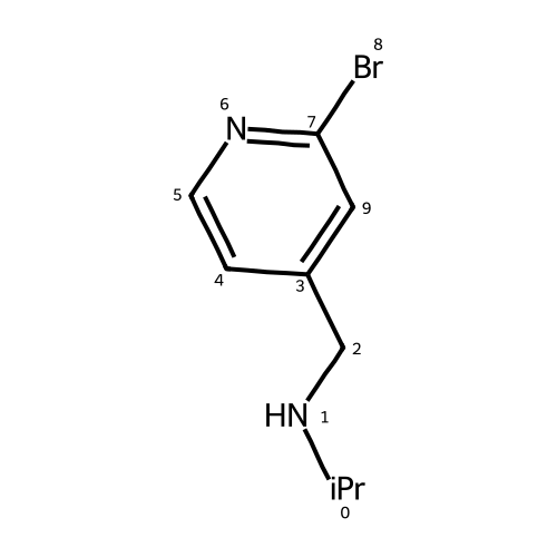 CC(C)NCc1ccnc(Br)c1